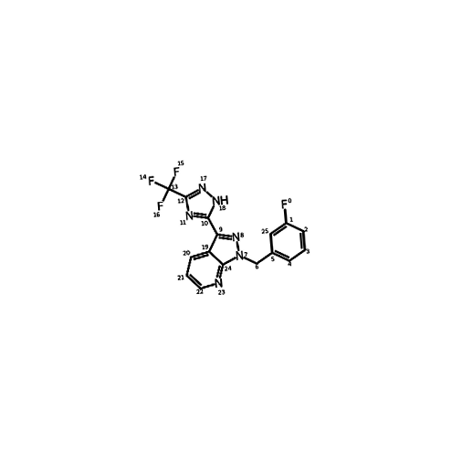 Fc1cccc(Cn2nc(-c3nc(C(F)(F)F)n[nH]3)c3cccnc32)c1